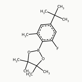 Cc1cc(C(C)(C)C)cc(F)c1B1OC(C)(C)C(C)(C)O1